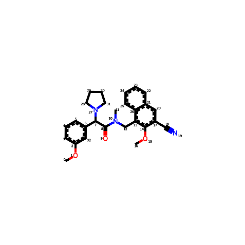 COc1cccc(C(C(=O)N(C)Cc2c(OC)c(C#N)cc3ccccc23)N2CCCC2)c1